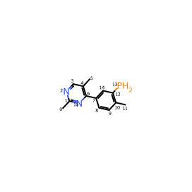 Cc1ncc(C)c(-c2ccc(C)c(P)c2)n1